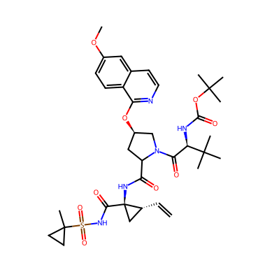 C=C[C@@H]1C[C@]1(NC(=O)C1C[C@@H](Oc2nccc3cc(OC)ccc23)CN1C(=O)[C@@H](NC(=O)OC(C)(C)C)C(C)(C)C)C(=O)NS(=O)(=O)C1(C)CC1